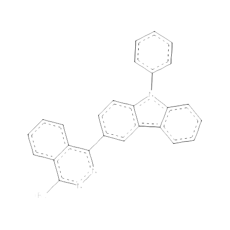 CC(C)(C)c1nnc(-c2ccc3c(c2)c2ccccc2n3-c2ccccc2)c2ccccc12